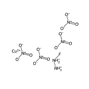 O=[N+]([O-])[O-].O=[N+]([O-])[O-].O=[N+]([O-])[O-].O=[N+]([O-])[O-].[Cu+2].[NH3+][NH2+]F